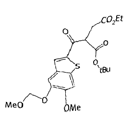 CCOC(=O)CC(C(=O)OC(C)(C)C)C(=O)c1cc2cc(OCOC)c(OC)cc2s1